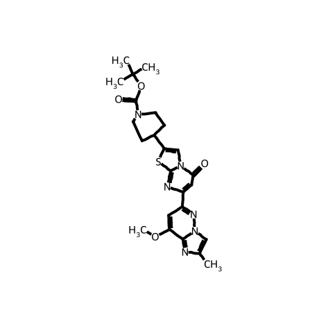 COc1cc(-c2cc(=O)n3cc(C4CCN(C(=O)OC(C)(C)C)CC4)sc3n2)nn2cc(C)nc12